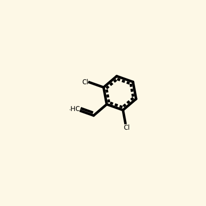 [CH]=Cc1c(Cl)cccc1Cl